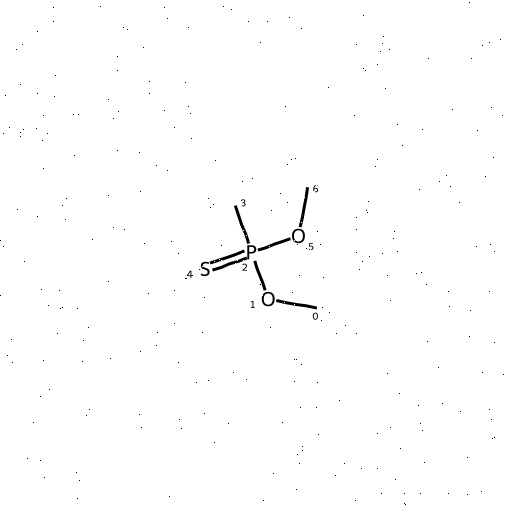 COP(C)(=S)OC